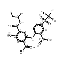 CCC(C)OC(=O)c1cc(Oc2ccc(S(=O)(=O)C(F)(F)F)cc2[N+](=O)[O-])c(C(=O)O)cc1O